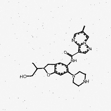 Cc1cnc2c(C(=O)Nc3cc4c(cc3N3CCNCC3)OC(C(C)CO)C4)cnn2c1